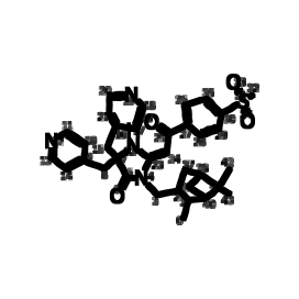 CC1C(CN2C(=O)C(Cc3ccncc3)(Cc3ccncc3)NC2=CC(=O)c2ccc(S(C)(=O)=O)cc2)CC2CC1C2(C)C